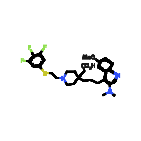 COc1ccc2ncc(N(C)C)c(CCCC3(CC(=O)O)CCN(CCSc4cc(F)c(F)c(F)c4)CC3)c2c1